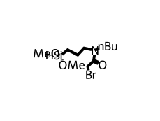 CCCCN(CCC[SiH](OC)OC)C(=O)CBr